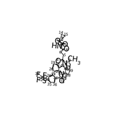 CCN(C(=O)CCC(=O)NS(=O)(=O)C1CC1)[C@H]1c2ccccc2N(C(=O)c2ccc(SC(F)(F)F)cc2)[C@@H]2CC[C@@H]21